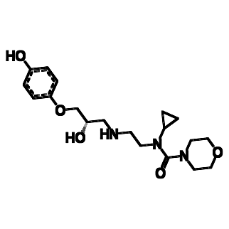 O=C(N1CCOCC1)N(CCNC[C@H](O)COc1ccc(O)cc1)C1CC1